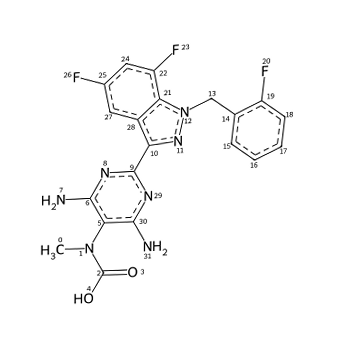 CN(C(=O)O)c1c(N)nc(-c2nn(Cc3ccccc3F)c3c(F)cc(F)cc23)nc1N